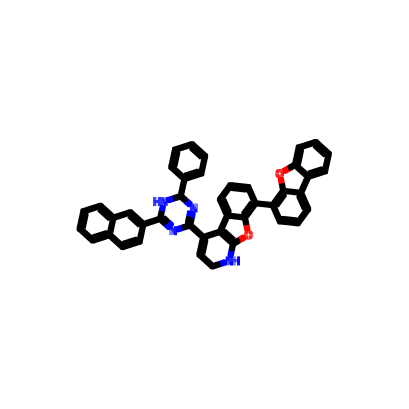 C1=C(C2=NC(c3ccccc3)NC(c3ccc4ccccc4c3)=N2)c2c(oc3c(-c4cccc5c4oc4ccccc45)cccc23)NC1